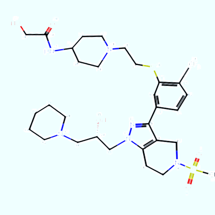 CS(=O)(=O)N1CCc2c(c(-c3ccc(C(F)(F)F)c(SCCN4CCC(NC(=O)CO)CC4)c3)nn2C[C@@H](O)CN2CCCCC2)C1